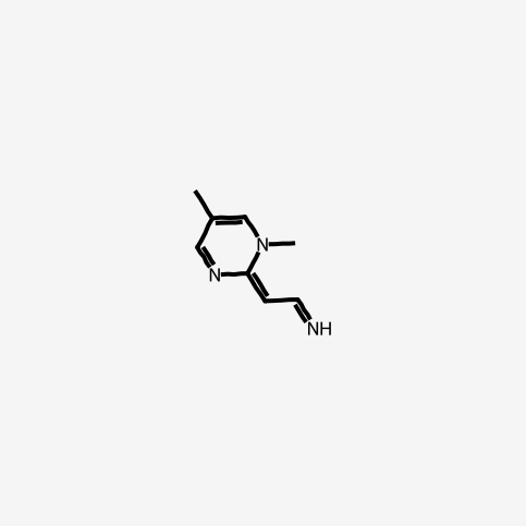 CC1=CN(C)/C(=C\C=N)N=C1